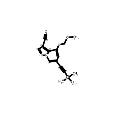 COCOc1cc(C#C[Si](C)(C)C)cn2ncc(C#N)c12